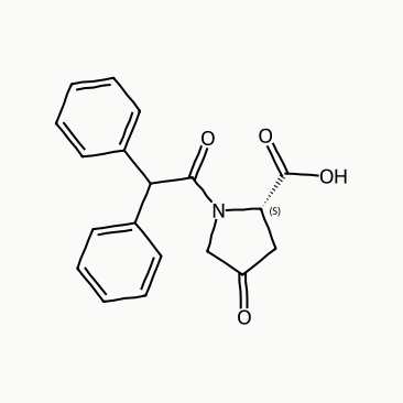 O=C1C[C@@H](C(=O)O)N(C(=O)C(c2ccccc2)c2ccccc2)C1